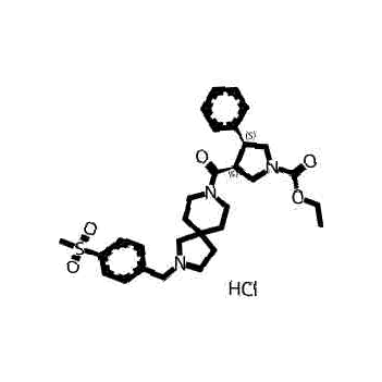 CCOC(=O)N1C[C@H](c2ccccc2)[C@H](C(=O)N2CCC3(CCN(Cc4ccc(S(C)(=O)=O)cc4)C3)CC2)C1.Cl